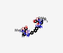 COC(=O)N[C@H](C(=O)N1C2C(C)C2C[C@H]1c1ncc(-c2ccc3cc(-c4ccc(-c5cnc([C@@H]6C[C@H]7C[C@H]7N6C(=O)[C@@H](NC(=O)OC)C6CCOCC6)[nH]5)cc4)ccc3c2)[nH]1)C1CCOCC1